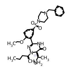 C=C(CCC)N1N=C(c2cc(S(=O)(=O)N3CCN(Cc4ccccc4)CC3)ccc2OCC)NC(=O)/C1=C(\C)N